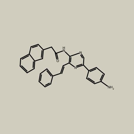 Nc1ccc(-c2cnc(NC(=O)Cc3ccc4ccccc4c3)c(/C=C/c3ccccc3)n2)cc1